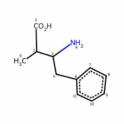 CC(C(=O)O)C(N)Cc1ccccc1